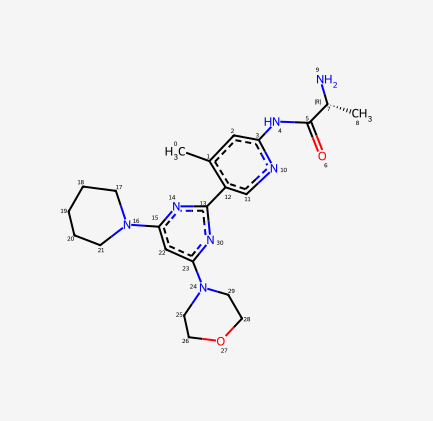 Cc1cc(NC(=O)[C@@H](C)N)ncc1-c1nc(N2CCCCC2)cc(N2CCOCC2)n1